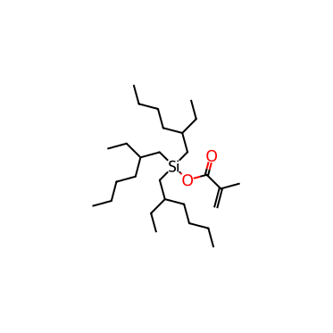 C=C(C)C(=O)O[Si](CC(CC)CCCC)(CC(CC)CCCC)CC(CC)CCCC